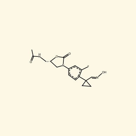 CC(=O)NC[C@H]1CN(c2ccc(C3(C=NO)CC3)c(F)c2)C(=O)O1